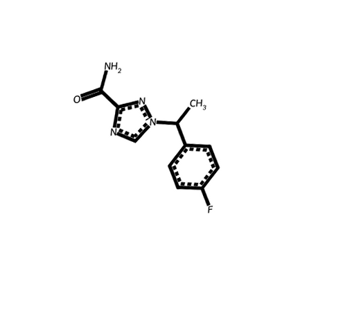 CC(c1ccc(F)cc1)n1cnc(C(N)=O)n1